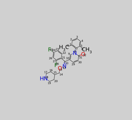 Cc1cccc(C)c1-n1cc(/C(=N/OCC2CCNCC2)c2ccc(F)cc2F)ccc1=O